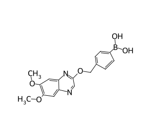 COc1cc2ncc(OCc3ccc(B(O)O)cc3)nc2cc1OC